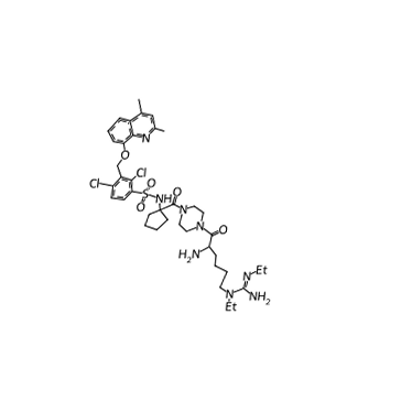 CCN=C(N)N(CC)CCCCC(N)C(=O)N1CCN(C(=O)C2(NS(=O)(=O)c3ccc(Cl)c(COc4cccc5c(C)cc(C)nc45)c3Cl)CCCC2)CC1